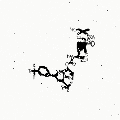 CC(C)(CO)NS(=O)(=O)c1cc(NC(=O)Oc2cnn3c(C(F)(F)F)cc(-c4ccc(C(F)(F)F)cc4)nc23)c(Cl)s1